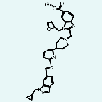 CC(C)(C)OC(=O)c1ccc2nc(CN3CCC(c4cccc(OCc5ccc6cnn(CC7CC7)c6c5)n4)CC3)n(CC3CCO3)c2c1